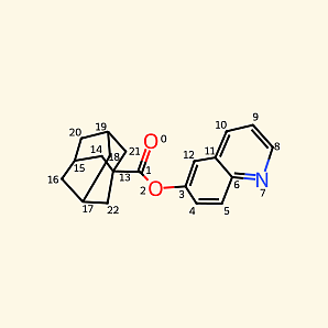 O=C(Oc1ccc2ncccc2c1)C12CC3CC(CC(C3)C1)C2